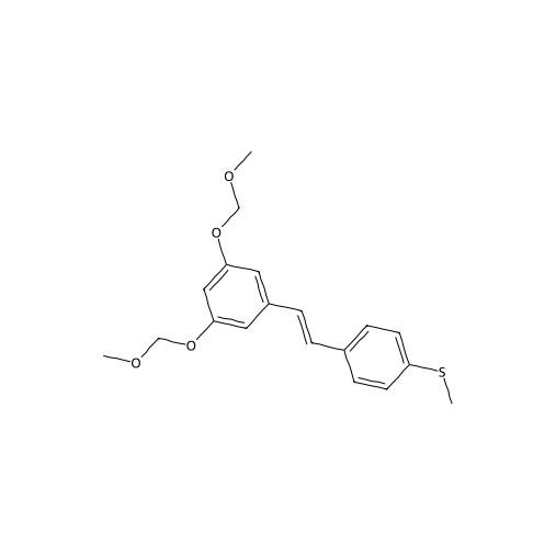 COCOc1cc(/C=C/c2ccc(SC)cc2)cc(OCOC)c1